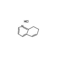 C1=Cc2cccnc2CC1.Cl